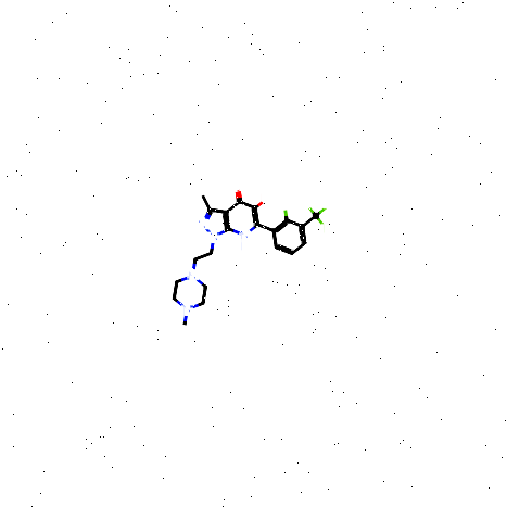 Cc1nn(CCN2CCN(C)CC2)c2[nH]c(-c3cccc(C(F)(F)F)c3F)c(O)c(=O)c12